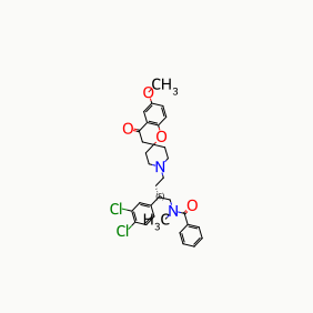 COc1ccc2c(c1)C(=O)CC1(CCN(CC[C@H](CN(C)C(=O)c3ccccc3)c3ccc(Cl)c(Cl)c3)CC1)O2